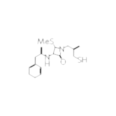 C=C(CS)CN1C(=O)[C@@H](NC(=C)CC2=CCCC=C2)C1SC